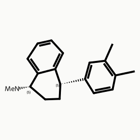 CN[C@H]1CC[C@@H](c2ccc(C)c(C)c2)c2ccccc21